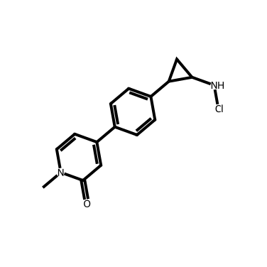 Cn1ccc(-c2ccc(C3CC3NCl)cc2)cc1=O